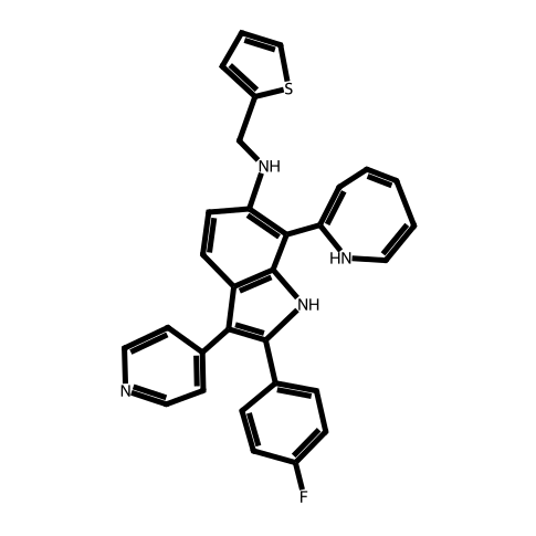 Fc1ccc(-c2[nH]c3c(C4=CC=CC=CN4)c(NCc4cccs4)ccc3c2-c2ccncc2)cc1